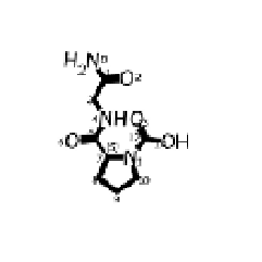 NC(=O)CNC(=O)[C@@H]1CCCN1C(=O)O